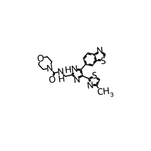 Cc1csc(-c2nc(CNC(=O)N3CCOCC3)[nH]c2-c2ccc3ncsc3c2)n1